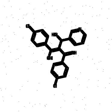 N=C(/C(=C(\O)c1ccc(Cl)cc1)C(O)c1cccnc1)c1ccc(Cl)cc1